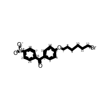 O=C(c1ccc(OCCCCCCBr)cc1)c1ccc([N+](=O)[O-])cc1